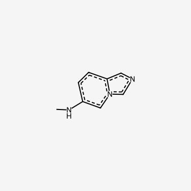 CNc1ccc2cncn2c1